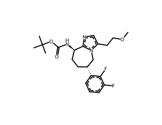 COCCc1cnc2n1C[C@H](c1cccc(F)c1F)CC[C@H]2NC(=O)OC(C)(C)C